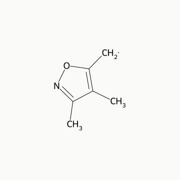 [CH2]c1onc(C)c1C